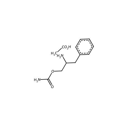 CC(=O)O.NC(=O)OCC(N)Cc1ccccc1